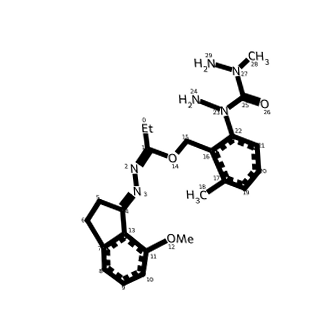 CCC(=NN=C1CCc2cccc(OC)c21)OCc1c(C)cccc1N(N)C(=O)N(C)N